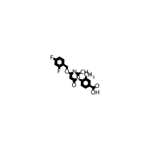 Cc1cc(C(=O)O)ccc1-n1c(C)nc(OCc2ccc(F)cc2F)cc1=O